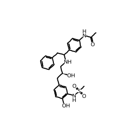 CC(=O)Nc1ccc(C(Cc2ccccc2)NC[C@@H](O)Cc2ccc(O)c(NS(C)(=O)=O)c2)cc1